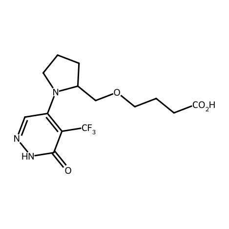 O=C(O)CCCOCC1CCCN1c1cn[nH]c(=O)c1C(F)(F)F